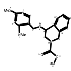 CNc1nc(SC)ncc1CNC1CN(C(=O)OC(C)(C)C)Cc2ccccc21